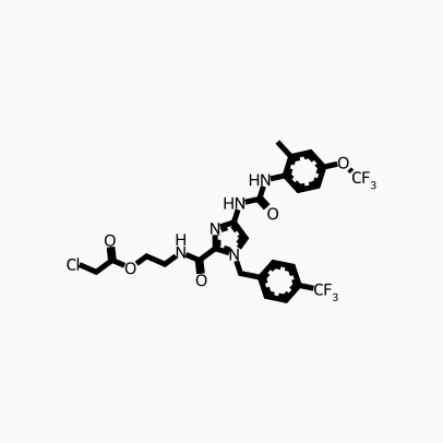 Cc1cc(OC(F)(F)F)ccc1NC(=O)Nc1cn(Cc2ccc(C(F)(F)F)cc2)c(C(=O)NCCOC(=O)CCl)n1